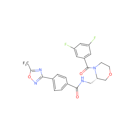 O=C(NC[C@H]1COCCN1C(=O)c1cc(F)cc(F)c1)c1ccc(-c2noc(C(F)(F)F)n2)cc1